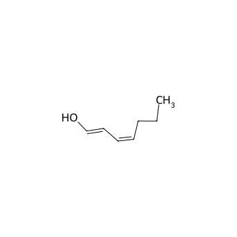 CCC/C=C\C=C\O